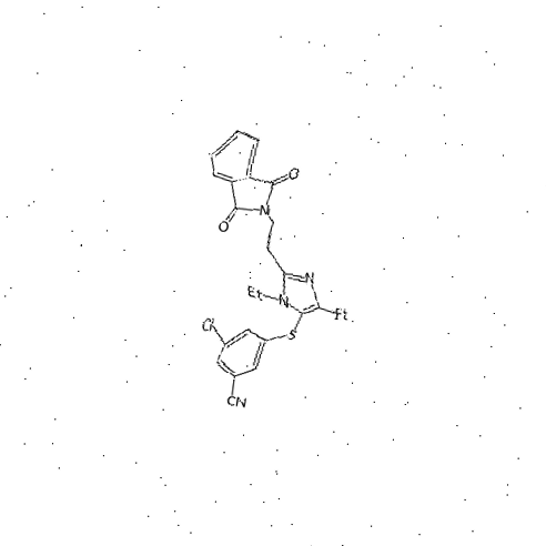 CCc1nc(CCN2C(=O)c3ccccc3C2=O)n(CC)c1Sc1cc(Cl)cc(C#N)c1